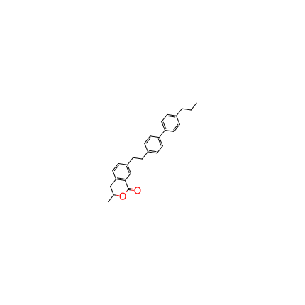 CCCc1ccc(-c2ccc(CCc3ccc4c(c3)C(=O)OC(C)C4)cc2)cc1